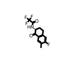 Cc1cc2c(cc1F)CC[C@@H](NC(=O)C(F)(F)F)C2=O